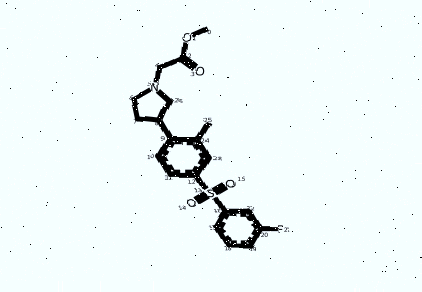 COC(=O)CN1CCC(c2ccc(S(=O)(=O)c3cccc(F)c3)cc2C)C1